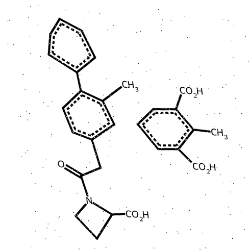 Cc1c(C(=O)O)cccc1C(=O)O.Cc1cc(CC(=O)N2CCC2C(=O)O)ccc1-c1ccccc1